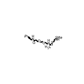 CSNCCSSC(C)NCCOCCOCCC(=O)NCC#CC(C)C